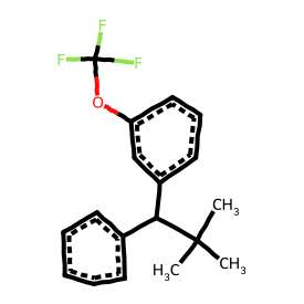 CC(C)(C)C(c1ccccc1)c1cccc(OC(F)(F)F)c1